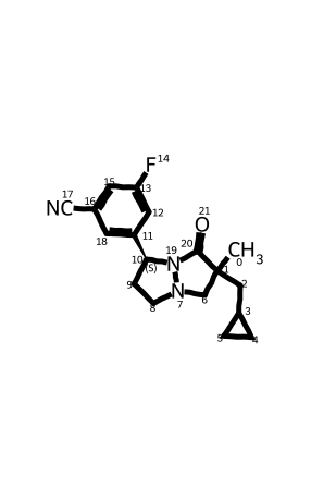 CC1(CC2CC2)CN2CC[C@@H](c3cc(F)cc(C#N)c3)N2C1=O